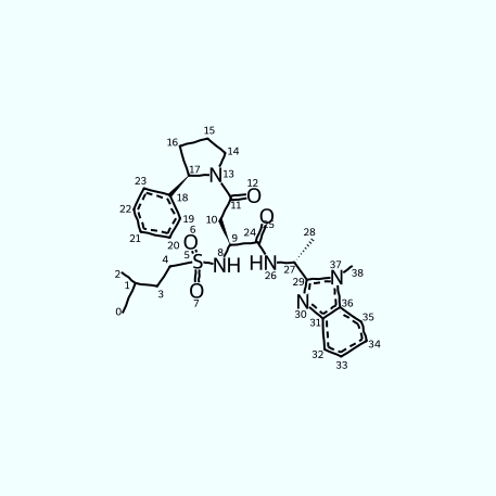 CC(C)CCS(=O)(=O)N[C@@H](CC(=O)N1CCC[C@@H]1c1ccccc1)C(=O)N[C@H](C)c1nc2ccccc2n1C